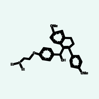 CCN(CC)CCOc1ccc(C(O)C2=C(c3ccc(OC)cc3)CCc3cc(OC)ccc32)cc1